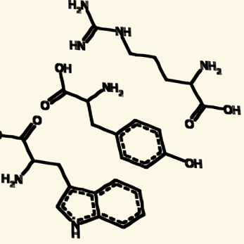 N=C(N)NCCCC(N)C(=O)O.NC(Cc1c[nH]c2ccccc12)C(=O)O.NC(Cc1ccc(O)cc1)C(=O)O